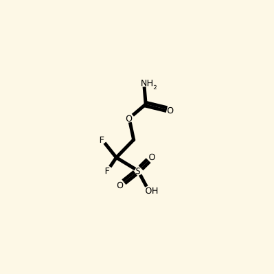 NC(=O)OCC(F)(F)S(=O)(=O)O